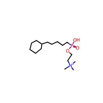 C[N+](C)(C)CCOP(=O)(O)CCCCCC1CCCCC1